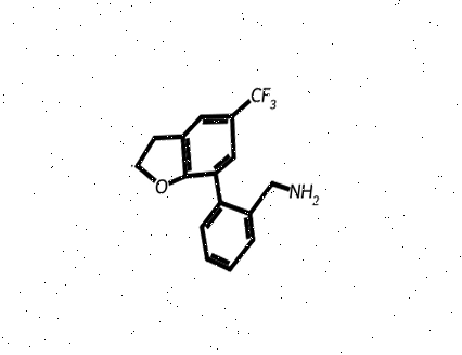 NCc1ccccc1-c1cc(C(F)(F)F)cc2c1O[CH]C2